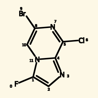 Fc1cnc2c(Cl)nc(Br)cn12